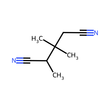 CC(C#N)C(C)(C)CC#N